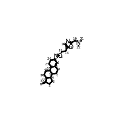 C=C1CCC2C3CCC4=CC(=NOCCc5cnc(CN(C)C)o5)CC[C@]4(C)C3CC[C@]12C